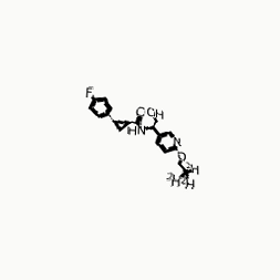 [2H]C([2H])([2H])COc1ccc([C@H](CO)NC(=O)[C@H]2C[C@@H]2c2ccc(F)cc2)cn1